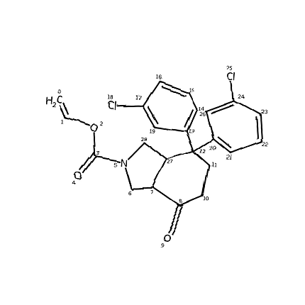 C=COC(=O)N1CC2C(=O)CCC(c3cccc(Cl)c3)(c3cccc(Cl)c3)C2C1